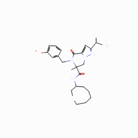 COc1cccc(CN2C(=O)c3cc(C(C)C)nn3CC2(C)C(=O)NC2CCCCCCC2)c1